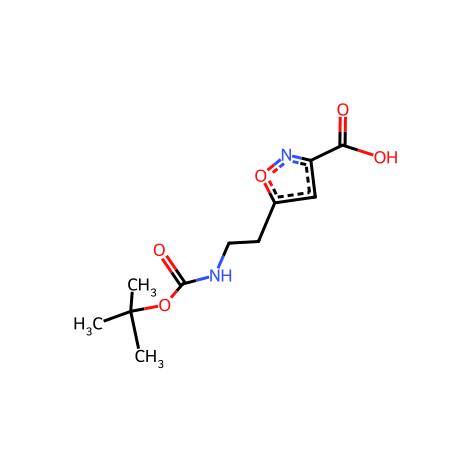 CC(C)(C)OC(=O)NCCc1cc(C(=O)O)no1